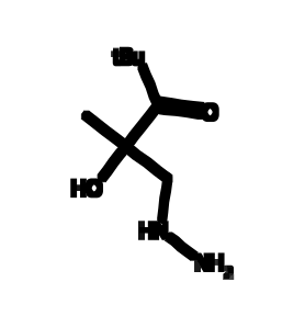 CC(C)(C)C(=O)C(C)(O)CNN